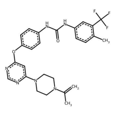 C=C(C)N1CCN(c2cc(Oc3ccc(NC(=O)Nc4ccc(C)c(C(F)(F)F)c4)cc3)ncn2)CC1